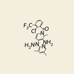 Cc1cnc(N(N)C2=C(N)C(C)N(C(=O)c3cccc(C(F)(F)F)c3Cl)C=C2)c(C)c1